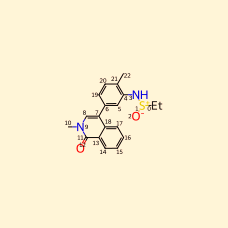 CC[S+]([O-])Nc1cc(-c2cn(C)c(=O)c3ccccc23)ccc1C